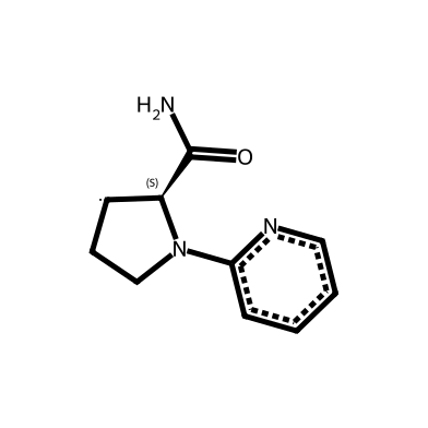 NC(=O)[C@@H]1[CH]CCN1c1ccccn1